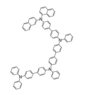 c1ccc(N(c2ccccc2)c2ccc(-c3ccc(N(c4ccccc4)c4ccc(-c5ccc(N(c6ccccc6)c6ccc(-c7ccc(N(c8ccc9ccccc9c8)c8cccc9ccccc89)cc7)cc6)cc5)cc4)cc3)cc2)cc1